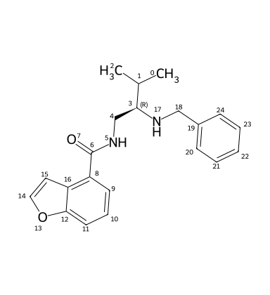 CC(C)[C@H](CNC(=O)c1cccc2occc12)NCc1ccccc1